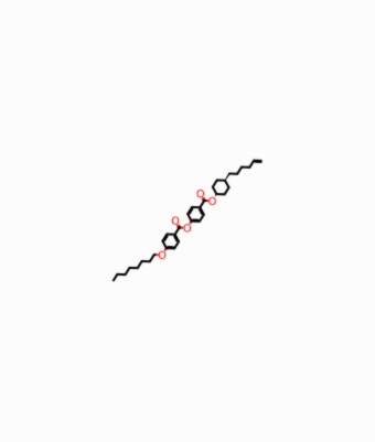 C=CCCCC[C@H]1CC[C@H](OC(=O)c2ccc(OC(=O)c3ccc(OCCCCCCCC)cc3)cc2)CC1